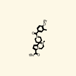 Cc1cc(C(=O)N2CCC3(CC2)c2ccc(C(=O)C(C)(C)C)n2CCN3C)ccc1OC(C)C